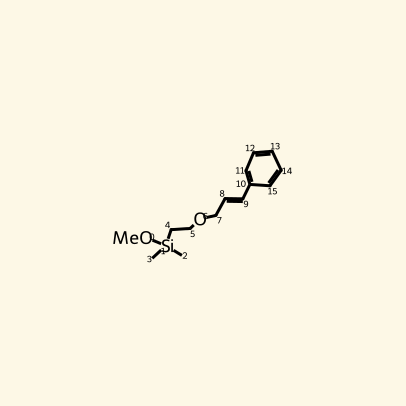 CO[Si](C)(C)CCOCC=Cc1ccccc1